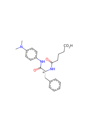 CN(C)c1ccc(NC(=O)[C@@H](Cc2ccccc2)NC(=O)CCCC(=O)O)cc1